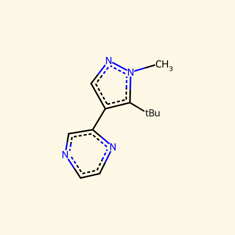 Cn1ncc(-c2cnccn2)c1C(C)(C)C